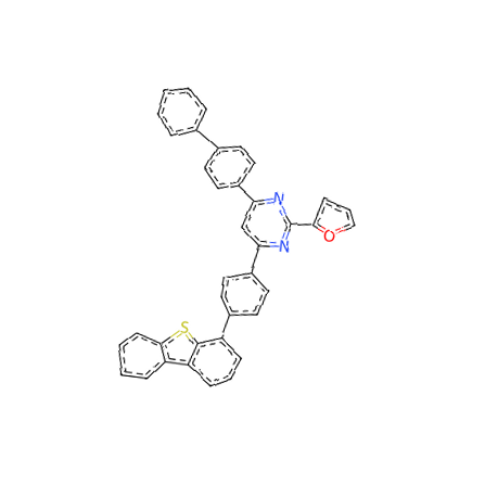 c1ccc(-c2ccc(-c3cc(-c4ccc(-c5cccc6c5sc5ccccc56)cc4)nc(-c4ccco4)n3)cc2)cc1